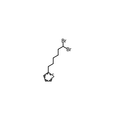 BrC(Br)CCCCCc1cccs1